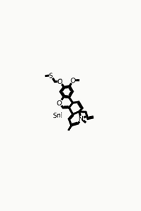 C=CCC12C=CC3C(=COc4cc(OCSC)c(OC)cc43)C1=CC(C)=C[N+]2(C)C.[Sn]